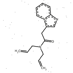 C=CCN(CC=C)C(=O)Cc1cnc2ccccn12